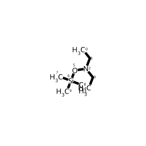 CCN(CC)O[Si](C)(C)C